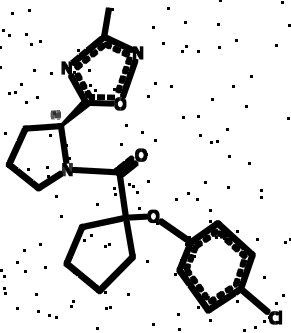 Cc1noc([C@@H]2CCCN2C(=O)C2(Oc3ccc(Cl)cc3)CCCC2)n1